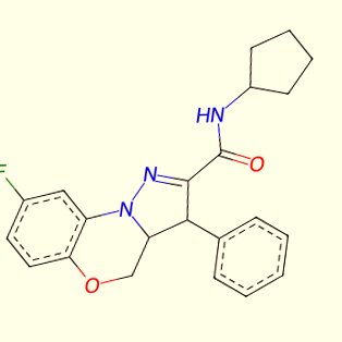 O=C(NC1CCCC1)C1=NN2c3cc(F)ccc3OCC2C1c1ccccc1